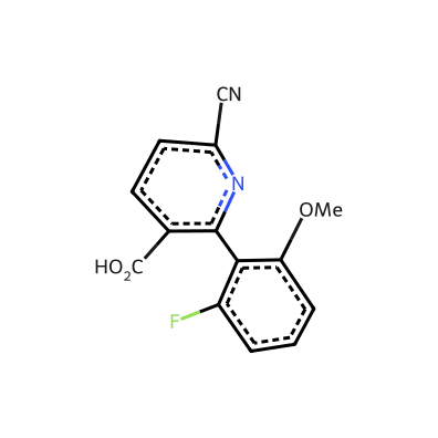 COc1cccc(F)c1-c1nc(C#N)ccc1C(=O)O